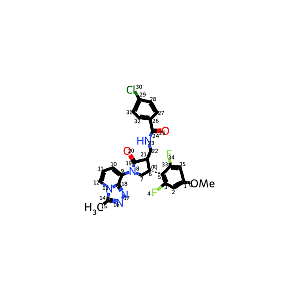 COc1cc(F)c([C@@H]2CN(c3cccn4c(C)nnc34)C(=O)C2CNC(=O)c2ccc(Cl)cc2)c(F)c1